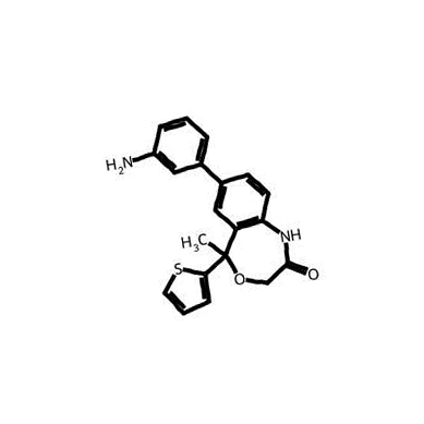 CC1(c2cccs2)OCC(=O)Nc2ccc(-c3cccc(N)c3)cc21